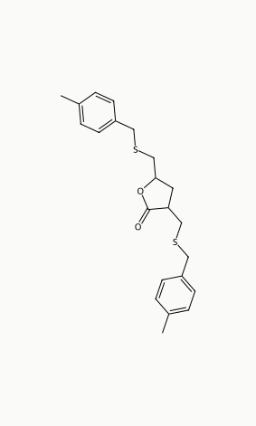 Cc1ccc(CSCC2CC(CSCc3ccc(C)cc3)C(=O)O2)cc1